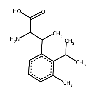 Cc1cccc(C(C)C(N)C(=O)O)c1C(C)C